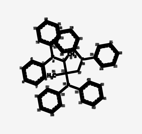 CC(P(c1ccccc1)c1ccccc1)C(C)(CP(c1ccccc1)c1ccccc1)P(c1ccccc1)c1ccccc1